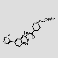 COCCN1CCC(C(=O)Nc2cc3cc(-c4cncn4C)ccc3nn2)CC1